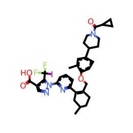 Cc1cc(C2CCN(C(=O)C3CC3)CC2)ccc1OCC1=C(c2cccc(-n3ncc(C(=O)O)c3C(F)(F)I)n2)CC(C)CC1